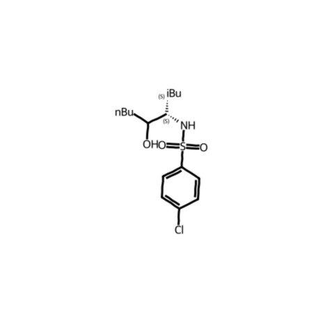 CCCCC(O)[C@@H](NS(=O)(=O)c1ccc(Cl)cc1)[C@@H](C)CC